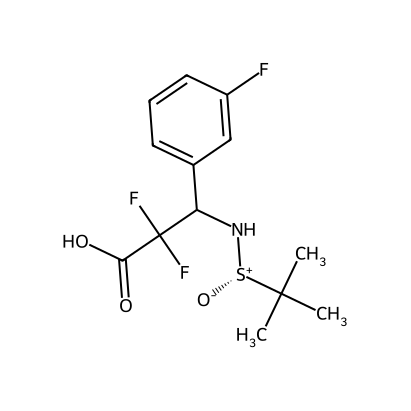 CC(C)(C)[S@+]([O-])NC(c1cccc(F)c1)C(F)(F)C(=O)O